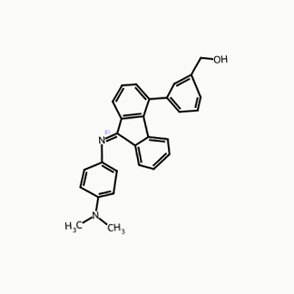 CN(C)c1ccc(/N=C2\c3ccccc3-c3c2cccc3-c2cccc(CO)c2)cc1